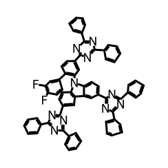 Fc1ccc(-c2ccc(-c3nc(-c4ccccc4)nc(-c4ccccc4)n3)cc2-n2c3ccc(-c4nc(-c5ccccc5)nc(-c5ccccc5)n4)cc3c3cc(-c4nc(-c5ccccc5)nc(-c5ccccc5)n4)ccc32)cc1F